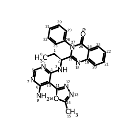 CC[C@H](Nc1ncnc(N)c1-c1nnc(C)o1)c1nc2ccccc2c(=O)n1-c1ccccc1